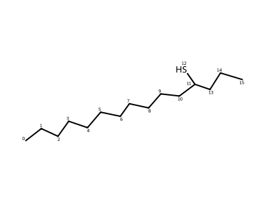 CCCCCCCCCCCC(S)CCC